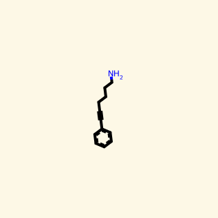 NCCCCC#Cc1ccccc1